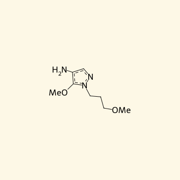 COCCCn1ncc(N)c1OC